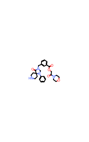 O=C(OCC(=O)N1CCOCC1)c1cccc(CN2CN(c3ccccc3)C3(CCNCC3)C2=O)c1